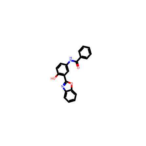 O=C(Nc1ccc(O)c(-c2nc3ccccc3o2)c1)c1ccccc1